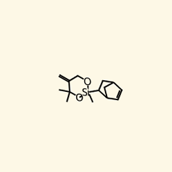 C=C1CO[Si](C)(C2CC3C=CC2C3)OC1(C)C